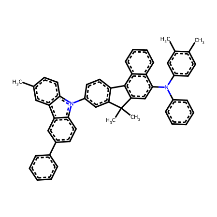 Cc1ccc2c(c1)c1cc(-c3ccccc3)ccc1n2-c1ccc2c(c1)C(C)(C)c1cc(N(c3ccccc3)c3ccc(C)c(C)c3)c3ccccc3c1-2